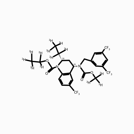 [2H]C([2H])([2H])OC(=O)N(Cc1cc(C(F)(F)F)cc(C(F)(F)F)c1)[C@H]1C[C@@H](C([2H])([2H])C([2H])([2H])[2H])N(C(=O)OC([2H])([2H])C([2H])([2H])[2H])c2ccc(C(F)(F)F)cc21